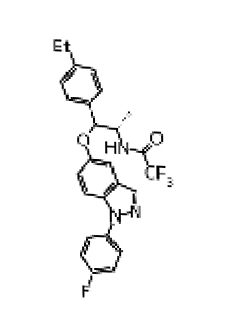 CCc1ccc([C@H](Oc2ccc3c(cnn3-c3ccc(F)cc3)c2)[C@H](C)NC(=O)C(F)(F)F)cc1